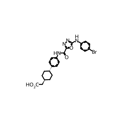 O=C(O)C[C@H]1CC[C@H](c2ccc(NC(=O)c3nnc(Nc4ccc(Br)cc4)o3)cc2)CC1